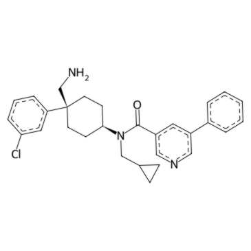 NC[C@]1(c2cccc(Cl)c2)CC[C@H](N(CC2CC2)C(=O)c2cncc(-c3ccccc3)c2)CC1